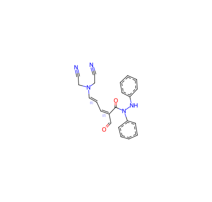 N#CCN(/C=C/C=C(/C=O)C(=O)N(Nc1ccccc1)c1ccccc1)CC#N